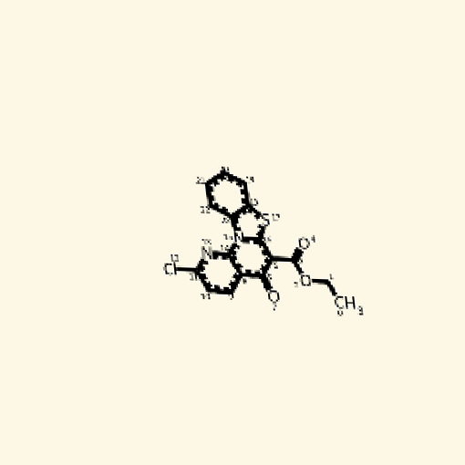 CCOC(=O)c1c(=O)c2ccc(Cl)nc2n2c1sc1ccccc12